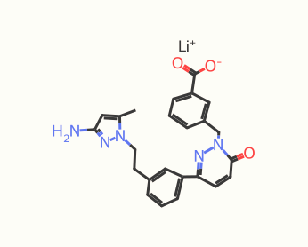 Cc1cc(N)nn1CCc1cccc(-c2ccc(=O)n(Cc3cccc(C(=O)[O-])c3)n2)c1.[Li+]